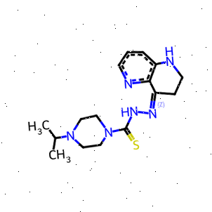 CC(C)N1CCN(C(=S)N/N=C2/CCNc3cccnc32)CC1